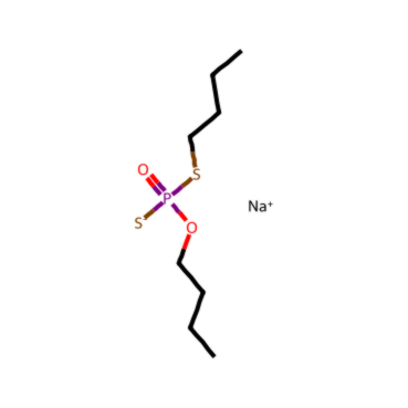 CCCCOP(=O)([S-])SCCCC.[Na+]